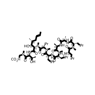 CC=CC[C@@H](C)[C@@H](O)[C@@H](C(=O)N[C@H](C(=O)N(C)CC(=O)O)[C@@H](C)O)N(C)C(=O)[C@H](C(C)C)N(C)C(=O)[C@H](CC(C)C)NC(=O)[C@H](CC(C)C)N(C)C(=O)[C@@H](C)NC(=O)[C@H](C)NC(=O)[C@H](CC(C)C)N(C)C(=O)[C@@H](N)CC(C)C